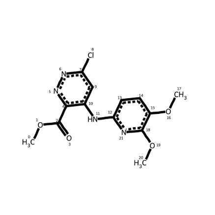 COC(=O)c1nnc(Cl)cc1Nc1ccc(OC)c(OC)n1